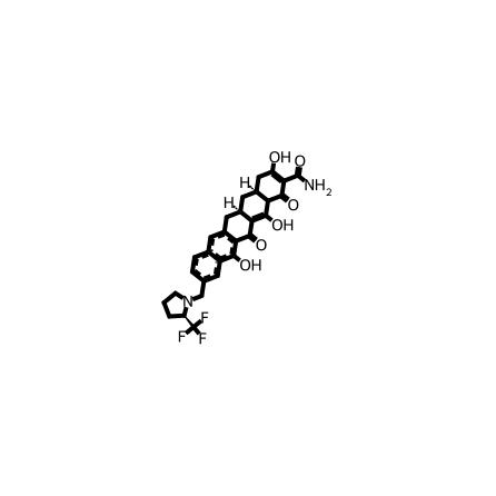 NC(=O)C1=C(O)C[C@@H]2C[C@@H]3Cc4cc5ccc(CN6CCC[C@@H]6C(F)(F)F)cc5c(O)c4C(=O)C3=C(O)C2C1=O